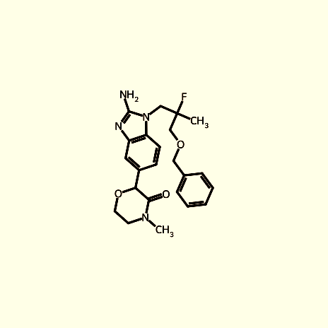 CN1CCOC(c2ccc3c(c2)nc(N)n3CC(C)(F)COCc2ccccc2)C1=O